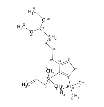 C=CC[Si](C)(C)C1=[C]([Pt]([CH3])([CH3])[CH3])CC=C1CCC[SiH2]C(OC)OC